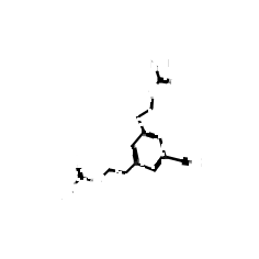 C#Cc1cc(CCOC(N)=O)cc(CCOC(N)=O)c1